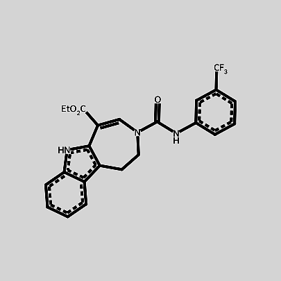 CCOC(=O)C1=CN(C(=O)Nc2cccc(C(F)(F)F)c2)CCc2c1[nH]c1ccccc21